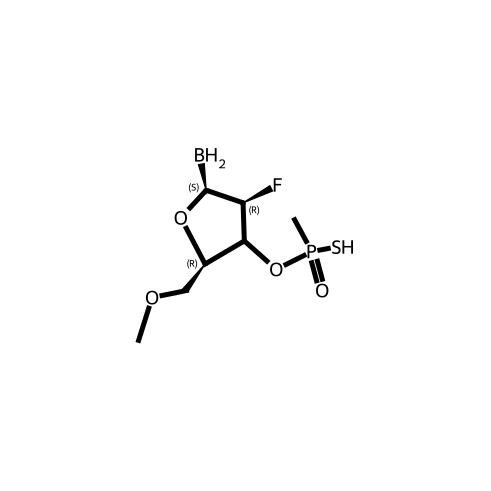 B[C@@H]1O[C@H](COC)C(OP(C)(=O)S)[C@@H]1F